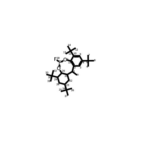 CC1c2cc(C(C)(C)C)cc(C(C)(C)C)c2OP(F)OC2C1CC(C(C)(C)C)CC2C(C)(C)C